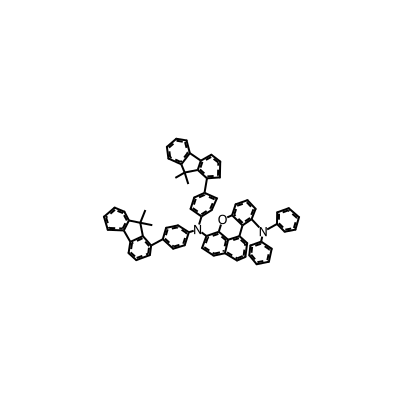 CC1(C)c2ccccc2-c2cccc(-c3ccc(N(c4ccc(-c5cccc6c5C(C)(C)c5ccccc5-6)cc4)c4ccc5cccc6c5c4Oc4cccc(N(c5ccccc5)c5ccccc5)c4-6)cc3)c21